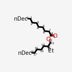 CCCCCCCCCCCCCCCCCC(=O)OCC(CC)CCCCCCCCCCCCCC